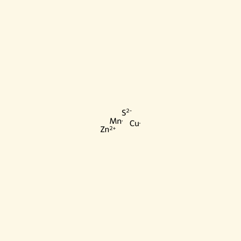 [Cu].[Mn].[S-2].[Zn+2]